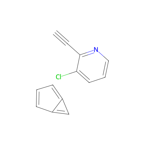 C#Cc1ncccc1Cl.c1cc2cc-2c1